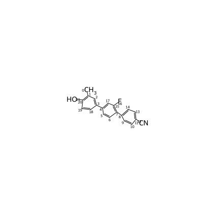 Cc1cc(-c2ccc(-c3ccc(C#N)cc3)c(F)c2)ccc1O